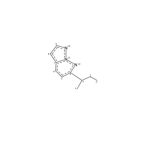 CCC(C)c1ccc2ccnn2n1